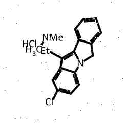 CCc1c2n(c3ccc(Cl)cc13)Cc1ccccc1-2.CNC.Cl